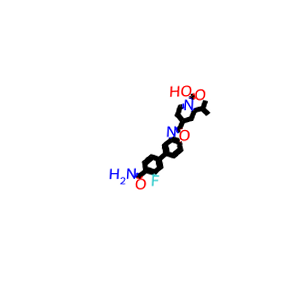 CC(C)C1CC(c2nc3cc(-c4ccc(C(N)=O)c(F)c4)ccc3o2)CCN1C(=O)O